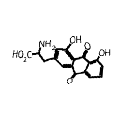 NC(Cc1cc(O)c2c(c1)C(=O)c1cccc(O)c1C2=O)C(=O)O